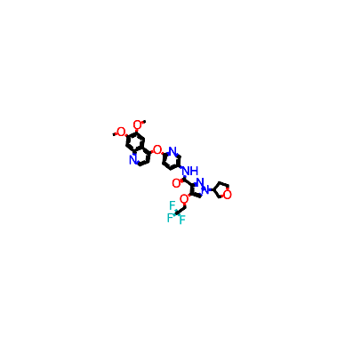 COc1cc2nccc(Oc3ccc(NC(=O)c4nn(C5CCOC5)cc4OCC(F)(F)F)cn3)c2cc1OC